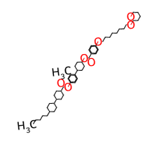 CCCCCC1CCC(C2CCC(C(=O)Oc3ccc(C4CCC(OC(=O)c5ccc(OCCCCCCCCOC6CCCCO6)cc5)CC4)c(C)c3)CC2)CC1